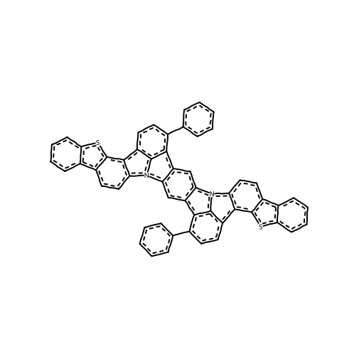 c1ccc(-c2ccc3c4c5sc6ccccc6c5ccc4n4c5cc6c7c(-c8ccccc8)ccc8c9c%10sc%11ccccc%11c%10ccc9n(c6cc5c2c34)c87)cc1